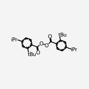 CC(C)c1ccc(C(=O)OOC(=O)c2ccc(C(C)C)cc2C(C)(C)C)c(C(C)(C)C)c1